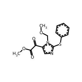 COCn1c(C(=O)C(=O)OC)cnc1Sc1ccccc1